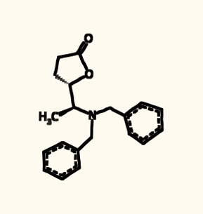 C[C@@H]([C@@H]1CCC(=O)O1)N(Cc1ccccc1)Cc1ccccc1